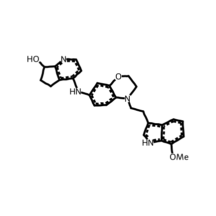 COc1cccc2c(CCN3CCOc4cc(Nc5ccnc6c5CCC6O)ccc43)c[nH]c12